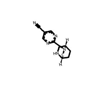 N#Cc1cnc(N2C[C@@H]3CC[C@H]2CN3)nc1